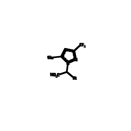 CCC(C(=O)O)n1nc(C(F)(F)F)cc1C(C)(C)C